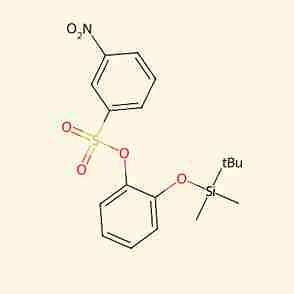 CC(C)(C)[Si](C)(C)Oc1ccccc1OS(=O)(=O)c1cccc([N+](=O)[O-])c1